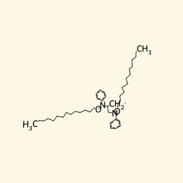 [CH2]C(CN(OCCCCCCCCCCCCCC)c1ccccc1)N(OCCCCCCCCCCCCCC)c1ccccc1